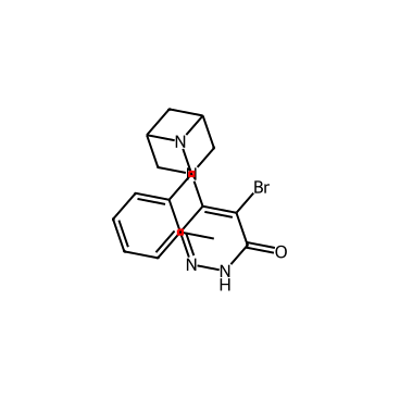 Cc1ccccc1CN1C2CC1CN(c1cn[nH]c(=O)c1Br)C2